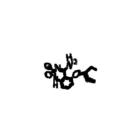 CCC(CC)Oc1cccc2c1C(N)=NS(=O)(=O)N2